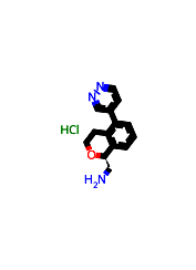 Cl.NC[C@@H]1OCCc2c(-c3ccnnc3)cccc21